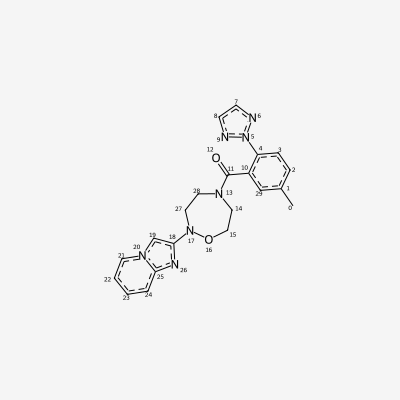 Cc1ccc(-n2nccn2)c(C(=O)N2CCON(c3cn4ccccc4n3)CC2)c1